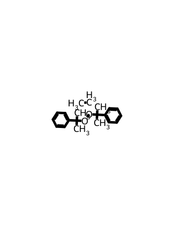 CC.CC(C)(OOC(C)(C)c1ccccc1)c1ccccc1